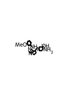 COc1cccc(NC2=NC=NN3CCC(CN4CC[C@@H](N)[C@](C)(O)C4)=C23)c1